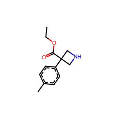 CCOC(=O)C1(c2ccc(C)cc2)CNC1